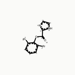 CC(C)c1cccc(C(C)C)c1OC(=O)c1ncc[nH]1